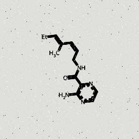 CC/C=C(C)/C=C\CNC(=O)c1nccnc1N